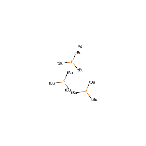 CC(C)(C)P(C(C)(C)C)C(C)(C)C.CC(C)(C)P(C(C)(C)C)C(C)(C)C.CC(C)(C)P(C(C)(C)C)C(C)(C)C.[Pd]